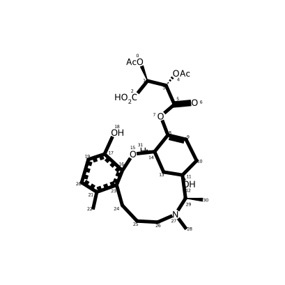 CC(=O)O[C@H](C(=O)O)[C@H](OC(C)=O)C(=O)OC1=CC[C@]2(O)C[C@H]1Oc1c(O)ccc(C)c1CCCN(C)[C@@H]2C